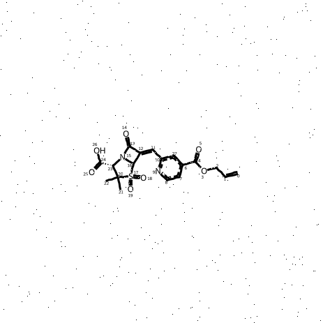 C=CCOC(=O)c1ccnc(/C=C2/C(=O)N3C2S(=O)(=O)C(C)(C)[C@@H]3C(=O)O)c1